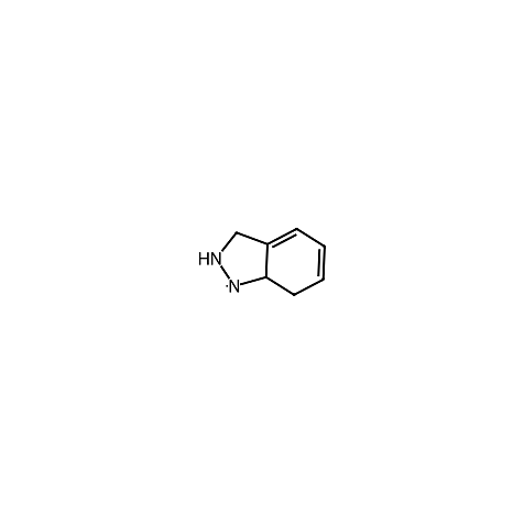 C1=CCC2[N]NCC2=C1